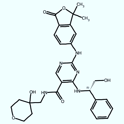 CC1(C)OC(=O)c2ccc(Nc3ncc(C(=O)NCC4(O)CCOCC4)c(N[C@H](CO)c4ccccc4)n3)cc21